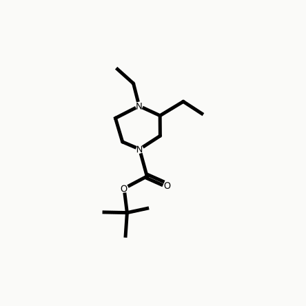 CCC1CN(C(=O)OC(C)(C)C)CCN1CC